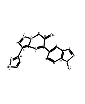 CCn1ncc2cc(C3=Nc4c(-c5cc[nH]n5)cnn4CC3=O)ccc21